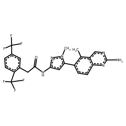 Cc1c(-c2cc(NC(=O)Cc3cc(C(F)(F)F)ccc3C(F)(F)F)nn2C)ccc2nc(N)ncc12